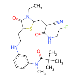 CCN1C(=O)C(CCNc2cccc(N(C)C(=O)C(C)(C)C)c2)SC1CC(C#N)C(=O)NCCF